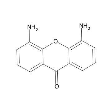 Nc1cccc2c(=O)c3cccc(N)c3oc12